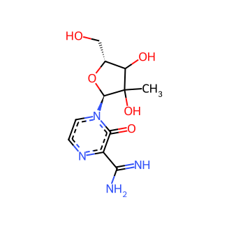 CC1(O)C(O)[C@@H](CO)O[C@@H]1n1ccnc(C(=N)N)c1=O